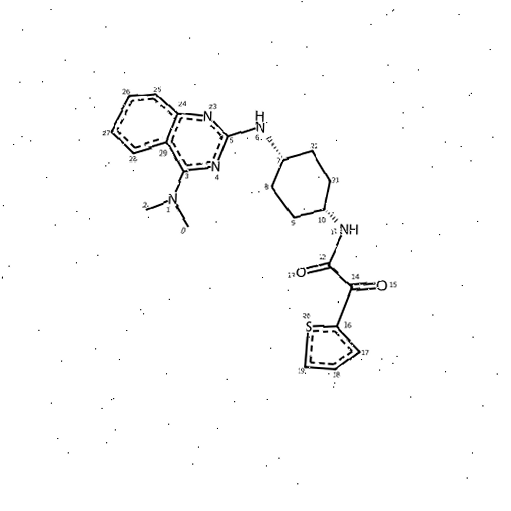 CN(C)c1nc(N[C@H]2CC[C@@H](NC(=O)C(=O)c3cccs3)CC2)nc2ccccc12